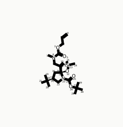 C=CCOC(=O)N(C)CC(=C)[C@@]1(O[SiH](C)C)C[C@H](C(C)(C)C)CN1C(=O)OC(C)(C)C